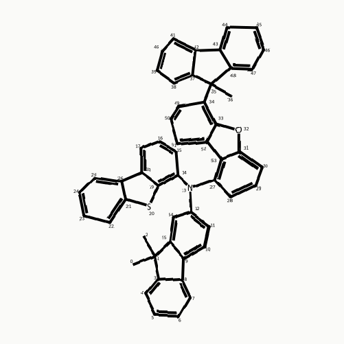 CC1(C)c2ccccc2-c2ccc(N(c3cccc4c3sc3ccccc34)c3cccc4oc5c(C6(C)c7ccccc7-c7ccccc76)cccc5c34)cc21